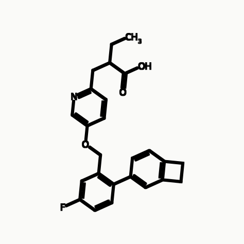 CCC(Cc1ccc(OCc2cc(F)ccc2-c2ccc3c(c2)CC3)cn1)C(=O)O